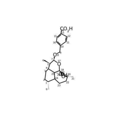 C[C@@H]1CCC2[C@@H](C)[C@@H](OCc3ccc(C(=O)O)cc3)O[C@@H]3O[C@]4(C)CCC1[C@@]23OO4